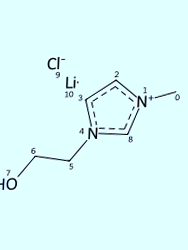 C[n+]1ccn(CCO)c1.[Cl-].[Li]